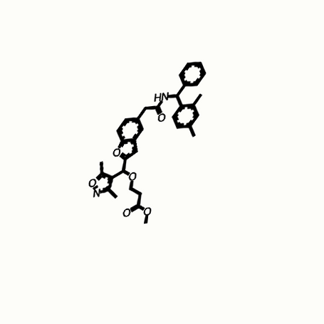 COC(=O)CCOC(c1cc2cc(CC(=O)NC(c3ccccc3)c3ccc(C)cc3C)ccc2o1)c1c(C)noc1C